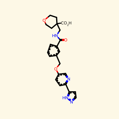 O=C(NCC1(C(=O)O)CCOCC1)c1cccc(COc2ccc(-c3ccn[nH]3)nc2)c1